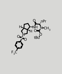 CCC[C@@H](C(=O)N[C@@H]1CC[C@H]2CN(S(=O)(=O)c3ccc(C(F)(F)F)cc3)C[C@H]21)N(C)C(=O)OC(C)(C)C